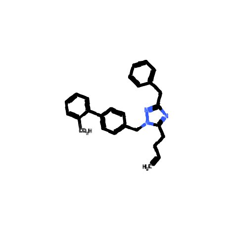 C=CCCc1nc(Cc2ccccc2)nn1Cc1ccc(-c2ccccc2C(=O)O)cc1